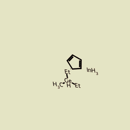 C[CH2][GeH]([CH3])[CH2]C.[CH]1C=CC=C1.[InH3]